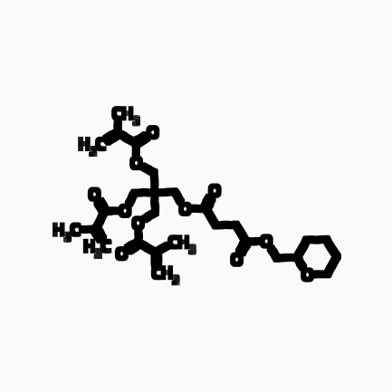 C=C(C)C(=O)OCC(COC(=O)CCC(=O)OCC1CCCCO1)(COC(=O)C(=C)C)COC(=O)C(=C)C